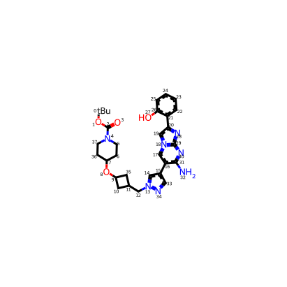 CC(C)(C)OC(=O)N1CCC(OC2CC(Cn3cc(-c4cn5cc(-c6ccccc6O)nc5nc4N)cn3)C2)CC1